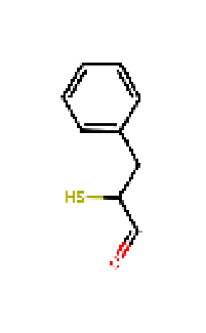 O=[C]C(S)Cc1ccccc1